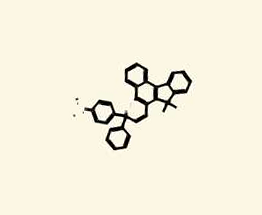 CN(C)c1ccc(C2(c3ccccc3)C=Cc3c4c(c5ccccc5c3O2)-c2ccccc2C4(C)C)cc1